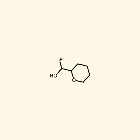 CC(C)C(O)C1CCCCO1